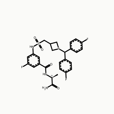 C[C@H](NC(=O)c1cc(F)cc(NS(=O)(=O)CC2CN(C(c3ccc(F)cc3)c3ccc(F)cc3)C2)c1)C(N)=O